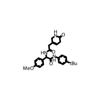 COc1ccc(C(NC(=O)CC2=CCC(=O)NC2)C(=O)Nc2ccc(C(C)(C)C)cc2)cc1